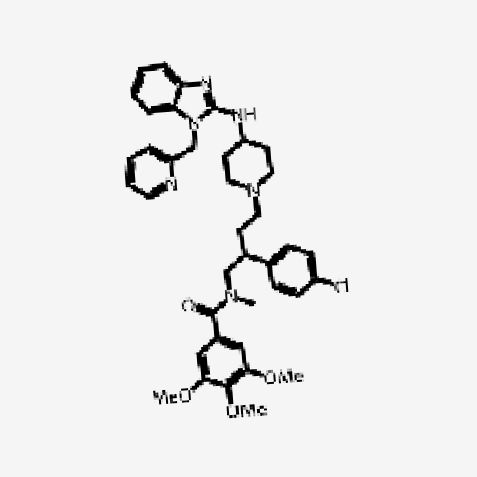 COc1cc(C(=O)N(C)CC(CCN2CCC(Nc3nc4ccccc4n3Cc3ccccn3)CC2)c2ccc(Cl)cc2)cc(OC)c1OC